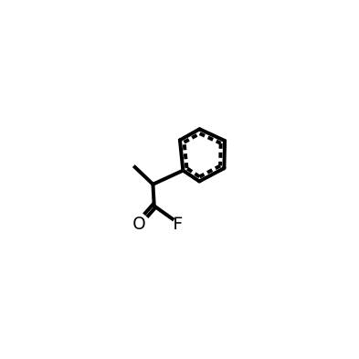 CC(C(=O)F)c1ccccc1